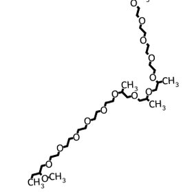 CCC(COCCOCCOCCOCCOCCOC(C)COCC(C)OCC(C)OCCOCCOCCOCCOC)OC